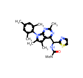 CNC(=O)NC(c1nccs1)c1nc(C)nc2c1c(C)c(C)n2-c1c(C)cc(C)cc1C